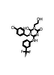 O=C1N=C(Nc2cccc(C(F)(F)F)c2)N(Cc2ccc(Cl)cc2)C(O)N1CCO